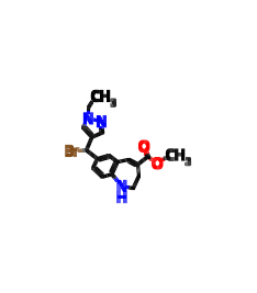 CCn1cc(C(Br)c2ccc3c(c2)C=C(C(=O)OC)CCN3)cn1